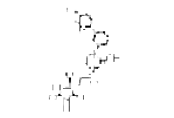 C[C@H]1CN(C(=O)CCC2(C3CC3)NC(=O)NC2=O)CCN1c1cccc(-c2ccc(Cl)nn2)c1